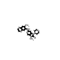 Cc1cc2nccnc2cc1Nc1cc2c(cn1)n(C)c(=O)n2N1CCOCC1